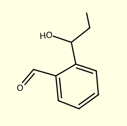 CCC(O)c1ccccc1C=O